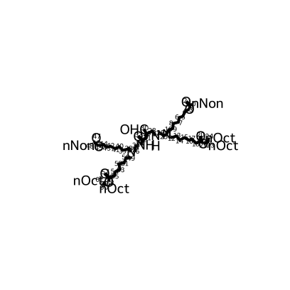 CCCCCCCCCC(=O)OCCCCCCCN(CCCCCCCC(=O)OC(CCCCCCCC)CCCCCCCC)CCNC/C(C=O)=C/C(=O)NCCN(CCCCCCCOC(=O)CCCCCCCCC)CCCCCCCC(=O)OC(CCCCCCCC)CCCCCCCC